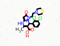 CC1=C(C(=O)O)C(c2cccc(Cl)c2Cl)n2c(cc(=O)n2CCN2CCSCC2)N1